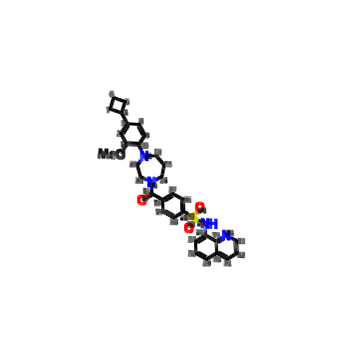 COc1cc(C2CCC2)ccc1N1CCCN(C(=O)c2ccc(S(=O)(=O)Nc3cccc4cccnc34)cc2)CC1